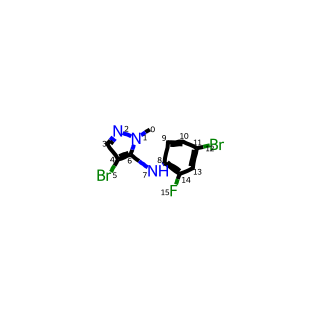 Cn1ncc(Br)c1Nc1ccc(Br)cc1F